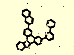 C1=Cc2c(nc3c4ccc(-c5cccc(-c6ccccn6)n5)cc4c4cc(-c5ccc6ccccc6c5)ccc4n23)CC1